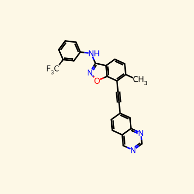 Cc1ccc2c(Nc3cccc(C(F)(F)F)c3)noc2c1C#Cc1ccc2cncnc2c1